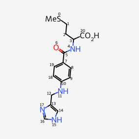 CSCCC(NC(=O)c1ccc(NCc2c[nH]cn2)cc1)C(=O)O